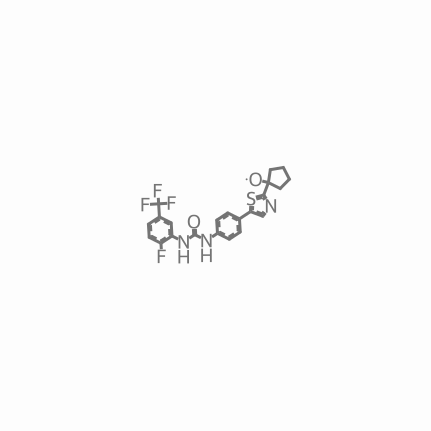 [O]C1(c2ncc(-c3ccc(NC(=O)Nc4cc(C(F)(F)F)ccc4F)cc3)s2)CCCC1